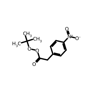 CC(C)(C)OOC(=O)Cc1ccc([N+](=O)[O-])cc1